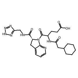 O=C(O)CCC(NC(=O)CC1CCCCC1)C(=O)N1c2ncccc2C[C@H]1C(=O)NCc1nn[nH]n1